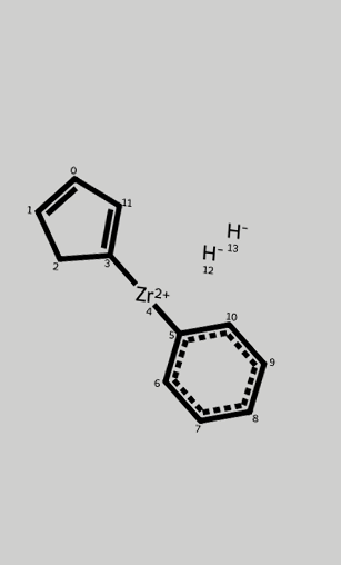 C1=CC[C]([Zr+2][c]2ccccc2)=C1.[H-].[H-]